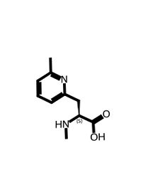 CN[C@@H](Cc1cccc(C)n1)C(=O)O